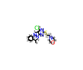 CC(Cn1ncc2c(Cl)nc(SCCN3CCOCC3)nc21)c1ccccc1